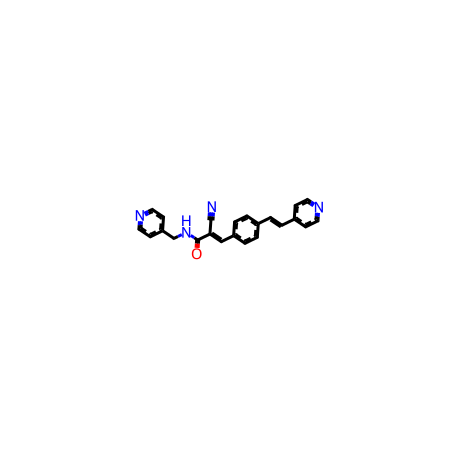 N#C/C(=C\c1ccc(/C=C/c2ccncc2)cc1)C(=O)NCc1ccncc1